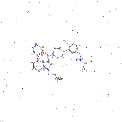 COCCn1cc(C(=O)N2CCC(c3cc(CNC(=O)C(F)(F)F)ccc3F)CC2)c2c(-c3cccnc3)cccc21